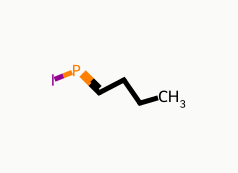 CCCC=PI